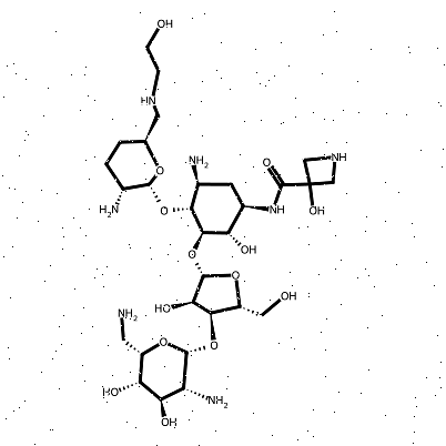 NC[C@@H]1O[C@H](O[C@H]2[C@@H](O)[C@H](O[C@@H]3[C@@H](O)[C@H](NC(=O)C4(O)CNC4)C[C@H](N)[C@H]3O[C@H]3O[C@H](CNCCO)CC[C@H]3N)O[C@@H]2CO)[C@H](N)[C@@H](O)[C@@H]1O